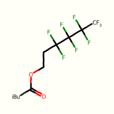 CCC(C)C(=O)OCCC(F)(F)C(F)(F)C(F)(F)C(F)(F)F